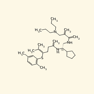 C=C(CCC(Sc1cc(C)ccc1C)=C(C)C)N[C@H](CNC(=C)C(=C)CN(CCC)CCC)C1CCCC1